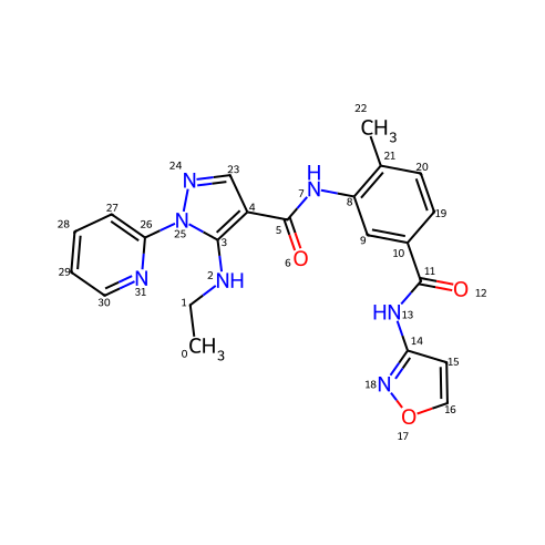 CCNc1c(C(=O)Nc2cc(C(=O)Nc3ccon3)ccc2C)cnn1-c1ccccn1